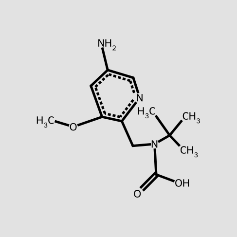 COc1cc(N)cnc1CN(C(=O)O)C(C)(C)C